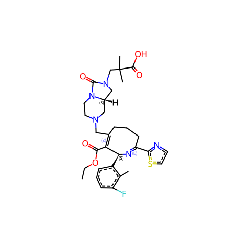 CCOC(=O)/C1=C(\CN2CCN3C(=O)N(CC(C)(C)C(=O)O)C[C@@H]3C2)CCC/C(c2nccs2)=N\[C@H]1c1cccc(F)c1C